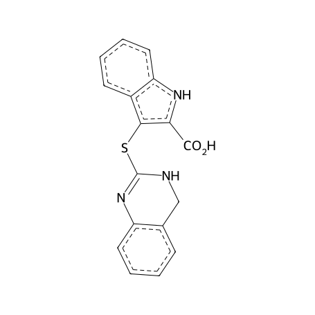 O=C(O)c1[nH]c2ccccc2c1SC1=Nc2ccccc2CN1